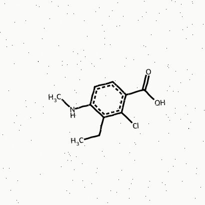 CCc1c(NC)ccc(C(=O)O)c1Cl